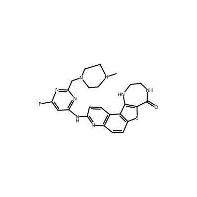 CN1CCN(Cc2nc(F)cc(Nc3ccc4c(ccc5sc6c(c54)NCCNC6=O)n3)n2)CC1